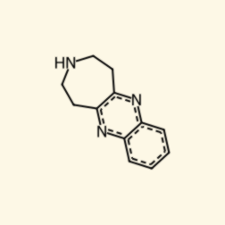 c1ccc2nc3c(nc2c1)CCNCC3